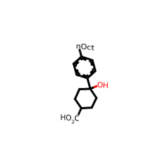 CCCCCCCCc1ccc(C2(O)CCC(C(=O)O)CC2)cc1